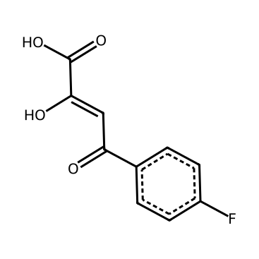 O=C(O)C(O)=CC(=O)c1ccc(F)cc1